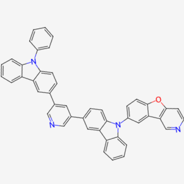 c1ccc(-n2c3ccccc3c3cc(-c4cncc(-c5ccc6c(c5)c5ccccc5n6-c5ccc6oc7ccncc7c6c5)c4)ccc32)cc1